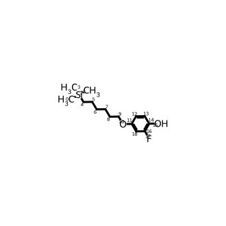 C[Si](C)(C)CCCCCCOc1ccc(O)c(F)c1